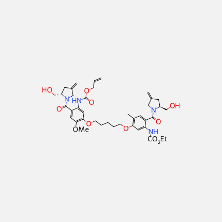 C=CCOC(=O)Nc1cc(OCCCCCOc2cc(NC(=O)OCC)c(C(=O)N3CC(=C)C[C@H]3CO)cc2C)c(OC)cc1C(=O)N1CC(=C)C[C@H]1CO